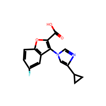 O=C(O)c1oc2ccc(F)cc2c1-n1cnc(C2CC2)c1